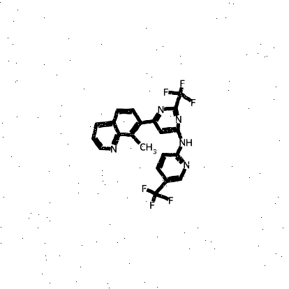 Cc1c(-c2cc(Nc3ccc(C(F)(F)F)cn3)nc(C(F)(F)F)n2)ccc2cccnc12